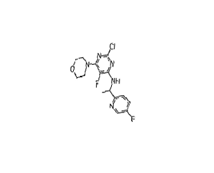 CC(Nc1nc(Cl)nc(N2CCOCC2)c1F)c1ccc(F)cn1